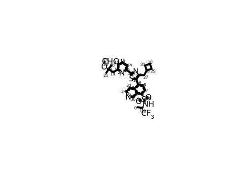 C[C@H](NS(=O)(=O)c1ccc(-c2sc(-c3cccc(CC(C)(C)OC=O)n3)nc2CC2CCC2)c2ccncc12)C(F)(F)F